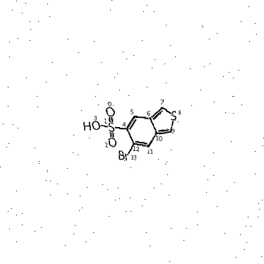 O=S(=O)(O)c1cc2cscc2cc1Br